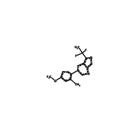 Cc1cc(OC(F)(F)F)ccc1-c1cnn2cnc(C(C)(F)F)c2c1